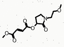 COCCN1CCC(OC(=O)/C=C/C(=O)OC)C1=O